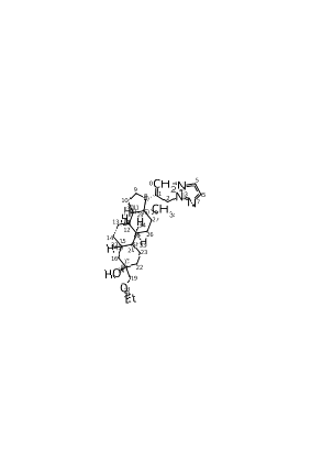 C=C(Cn1nccn1)[C@H]1CC[C@H]2[C@@H]3CC[C@H]4C[C@@](O)(COCC)CC[C@@H]4[C@H]3CC[C@]12C